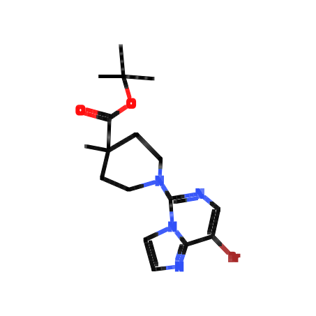 CC(C)(C)OC(=O)C1(C)CCN(c2ncc(Br)c3nccn23)CC1